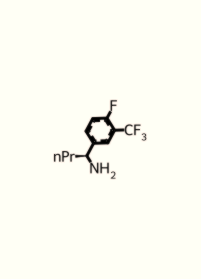 CCC[C@H](N)c1ccc(F)c(C(F)(F)F)c1